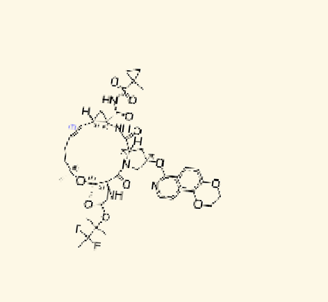 C[C@@H]1CC/C=C\[C@@H]2C[C@@]2(C(=O)NS(=O)(=O)C2(C)CC2)NC(=O)[C@@H]2C[C@@H](Oc3nccc4c5c(ccc34)OCCO5)CN2C(=O)[C@@H](NC(=O)OC(C)(C)C(C)(F)F)[C@H](C)O1